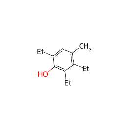 CCc1cc(C)c(CC)c(CC)c1O